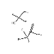 O=C(O)C(F)(F)F.OC(F)(F)CF